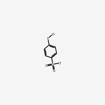 O=S(=O)(Cl)c1ccc(SCl)cc1